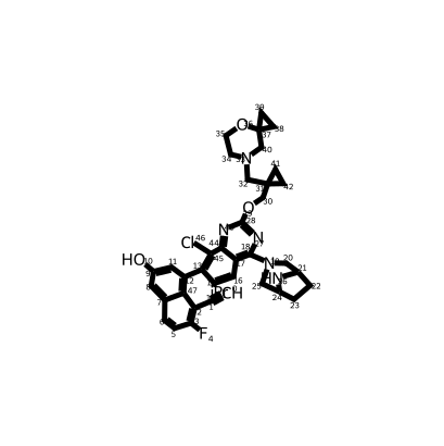 C#Cc1c(F)ccc2cc(O)cc(-c3c(C(C)C)cc4c(N5CC6CCC(C5)N6)nc(OCC5(CN6CCOC7(CC7)C6)CC5)nc4c3Cl)c12